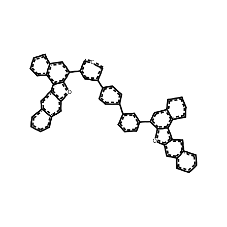 c1cc(-c2ccc(-c3cccc(-c4cc5ccccc5c5c4oc4cc6ccccc6cc45)c3)cc2)cc(-c2cc3ccccc3c3c2oc2cc4ccccc4cc23)c1